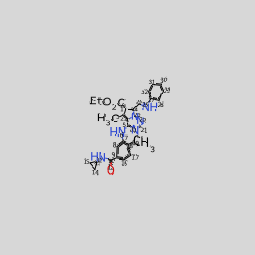 CCOC(=O)C1C(C)=C2C(Nc3cc(C(=O)NC4CC4)ccc3C)=NC=NN2C1CNc1ccccc1